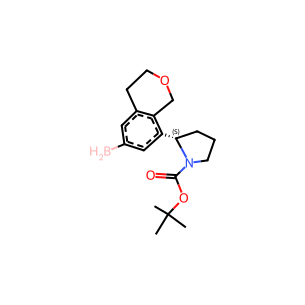 Bc1cc2c(c([C@@H]3CCCN3C(=O)OC(C)(C)C)c1)COCC2